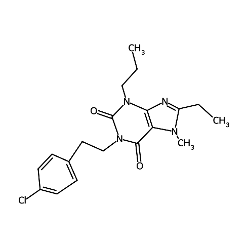 CCCn1c(=O)n(CCc2ccc(Cl)cc2)c(=O)c2c1nc(CC)n2C